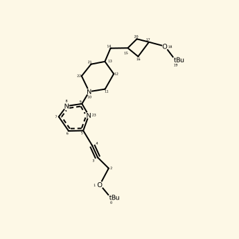 CC(C)(C)OCC#Cc1ccnc(N2CCC(CC3CC(OC(C)(C)C)C3)CC2)n1